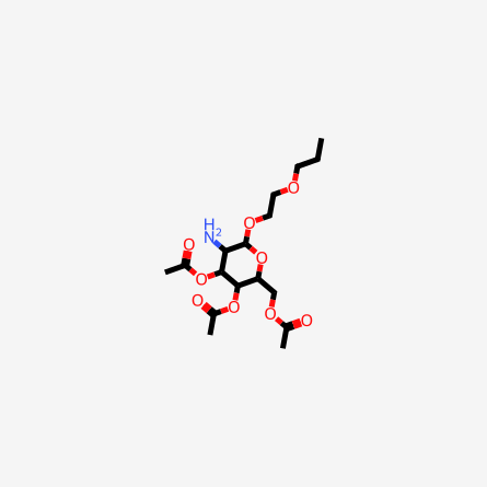 CCCOCCOC1OC(COC(C)=O)C(OC(C)=O)C(OC(C)=O)C1N